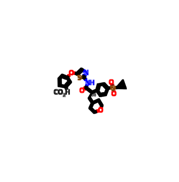 O=C(O)c1cccc(Oc2cnc(NC(=O)[C@H](CC3CCOCC3)c3ccc(S(=O)(=O)C4CC4)cc3)s2)c1